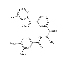 COc1ccc(C(=O)NN(C)C(=O)c2cccc(-c3csc4c(F)cccc34)n2)cc1OC